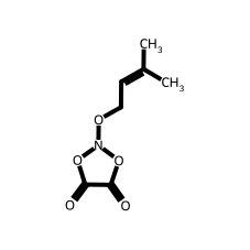 CC(C)=CCOn1oc(=O)c(=O)o1